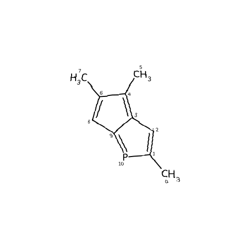 CC1=[C]C2=C(C)C(C)=CC2=P1